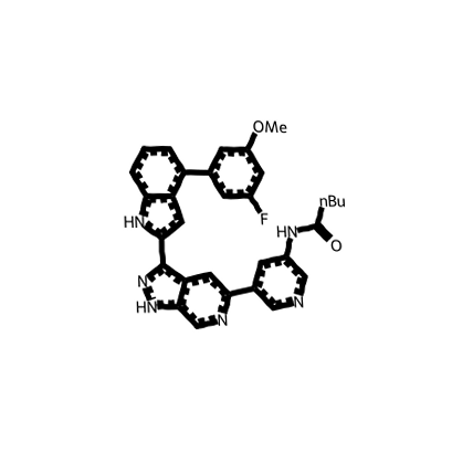 CCCCC(=O)Nc1cncc(-c2cc3c(-c4cc5c(-c6cc(F)cc(OC)c6)cccc5[nH]4)n[nH]c3cn2)c1